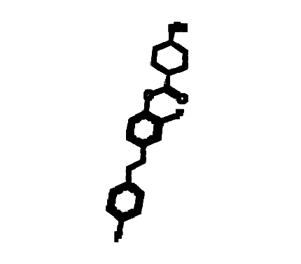 CCCC[C@H]1CC[C@H](C(=O)Oc2ccc(CCc3ccc(F)cc3)cc2F)CC1